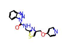 O=C(NCc1nc(COc2ccncc2)cs1)n1nnc2ccccc21